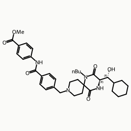 CCCCN1C(=O)[C@@H]([C@H](O)C2CCCCC2)NC(=O)C12CCN(Cc1ccc(C(=O)Nc3ccc(C(=O)OC)cc3)cc1)CC2